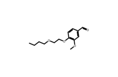 CCCCOCCOc1ccc(C=O)cc1OC